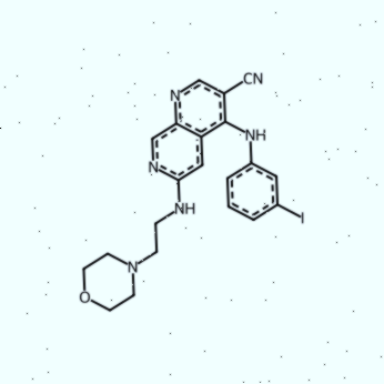 N#Cc1cnc2cnc(NCCN3CCOCC3)cc2c1Nc1cccc(I)c1